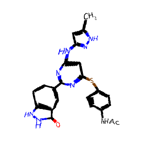 CC(=O)Nc1ccc(Sc2cc(Nc3cc(C)[nH]n3)nc(-c3ccc4[nH][nH]c(=O)c4c3)n2)cc1